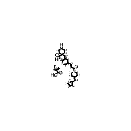 O=C(/C=C/c1cnc2c(c1)CC1(CCNCC1)C(=O)N2)N1CC=C(Cc2cccs2)CC1.O=C(O)C(F)(F)F